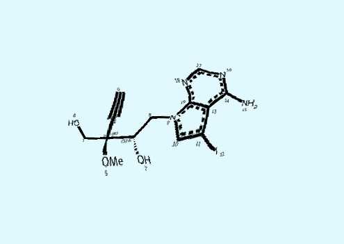 C#C[C@](CO)(OC)[C@@H](O)Cn1cc(I)c2c(N)ncnc21